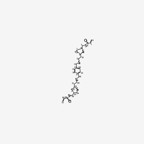 C=CC(=O)SCC1CSC(CCSCc2ccc(CSCCC3SCC(CSC(=O)C=C)S3)cc2)S1